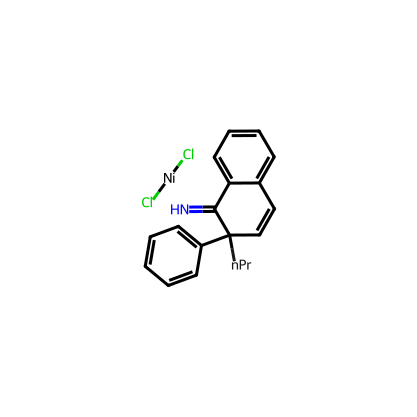 CCCC1(c2ccccc2)C=Cc2ccccc2C1=N.[Cl][Ni][Cl]